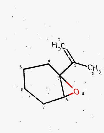 [CH2]C(=C)C12CCCCC1O2